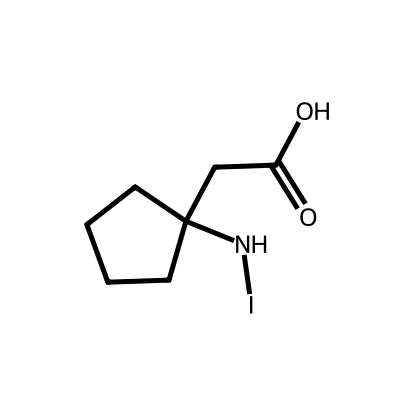 O=C(O)CC1(NI)CCCC1